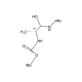 CCCCNC(O)[C@@H](C)NC(=O)OC(C)(C)C